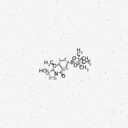 COc1ccc(B2OC(C)(C)C(C)(C)O2)cc1C(=O)N1CCC(O)C1